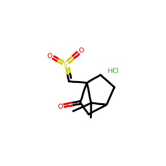 CC1(C)C2CCC1(C=S(=O)=O)C(=O)C2.Cl